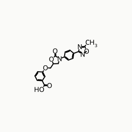 Cc1nc(-c2ccc(N3CC(COc4cccc(C(=O)O)c4)OC3=O)cc2)no1